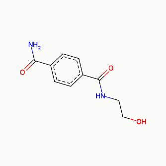 NC(=O)c1ccc(C(=O)NCCO)cc1